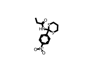 CCC(=O)NC1(c2ccc([N+](=O)[O-])cc2)SCCCS1